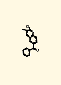 Cc1cc2cc(C(=O)c3ccccc3)ccc2nc1Cl